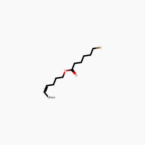 CCCCC/C=C\CCCOC(=O)CCCCCBr